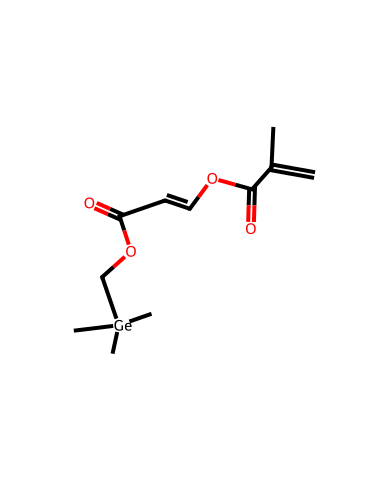 C=C(C)C(=O)OC=CC(=O)O[CH2][Ge]([CH3])([CH3])[CH3]